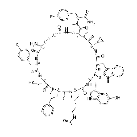 CC(=O)NCCCC[C@H]1C(=O)N[C@@H](Cc2c[nH]c3ccc(O)cc23)C(=O)N[C@@H](Cc2c[nH]c3ccccc23)C(=O)N[C@@H](C2CC2)C(=O)N(C)[C@H](C(=O)N(C)[C@@H](Cc2ccc(F)cc2)C(N)=O)CNC(=O)CCC[C@H](N)C(=O)N[C@@H](Cc2ccc(O)cc2)C(=O)N[C@@H](CO)C(=O)N(C)[C@@H](CCc2ccccc2)C(=O)N1C